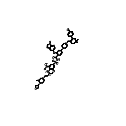 C[C@H]1CN(CC[C@@H]2COc3cc(S(=O)(=O)NC(=O)c4ccc(N5CCN(CC6=C(c7ccc(Cl)cc7)CC(C)(C)CC6)CC5)cc4Oc4cnc5[nH]ccc5c4)cc([N+](=O)[O-])c3N2)CCN1C1COC1